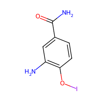 NC(=O)c1ccc(OI)c(N)c1